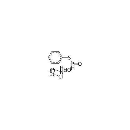 CC(C)N.CCCl.O=[PH](O)Sc1ccccc1